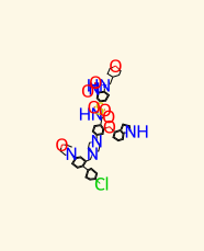 O=C(NS(=O)(=O)c1ccc(NCC2CCOCC2)c([N+](=O)[O-])c1)c1ccc(N2CCN(Cc3cc(N4CCOCC4)ccc3-c3ccc(Cl)cc3)CC2)cc1Oc1cccc2[nH]ccc12